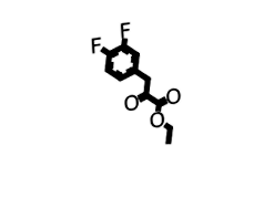 CCOC(=O)C(=O)Cc1ccc(F)c(F)c1